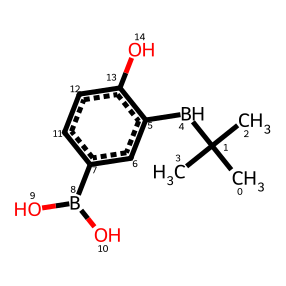 CC(C)(C)Bc1cc(B(O)O)ccc1O